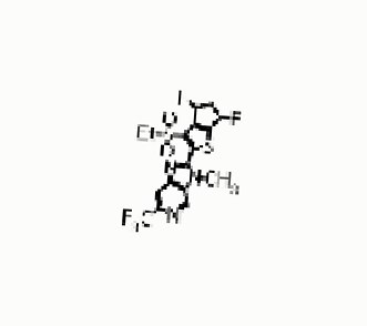 CCS(=O)(=O)c1c(-c2nc3cc(C(F)(F)F)ncc3n2C)sc2c1C(F)CC2F